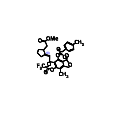 COC(=O)CC1CCC/C1=C\Cc1c(OS(=O)(=O)C(F)(F)F)c(C)c2c(c1OS(=O)(=O)c1ccc(C)cc1)C(=O)OC2